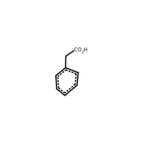 O=C(O)Cc1[c]cccc1